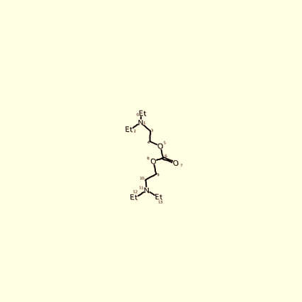 CCN(CC)CCOC(=O)OCCN(CC)CC